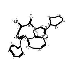 NC1N=C(c2ccccc2)c2ccccc2N(CC(=O)C2CCCC2)C1=O